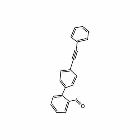 O=[C]c1ccccc1-c1ccc(C#Cc2ccccc2)cc1